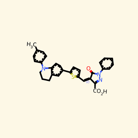 Cc1ccc(N2CCCc3cc(-c4ccc(/C=C5\C(=O)N(c6ccccc6)N=C5C(=O)O)s4)ccc32)cc1